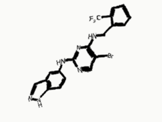 FC(F)(F)c1ccccc1CNc1nc(Nc2ccc3[nH]ncc3c2)ncc1Br